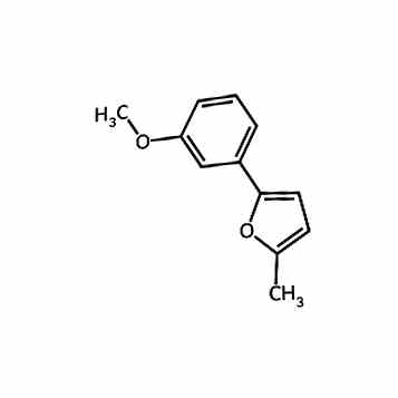 COc1cccc(-c2ccc(C)o2)c1